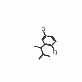 CC(C)C(C)c1cc(Cl)ccc1Cl